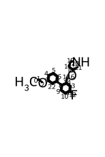 CCOc1cccc(-c2ccc(F)cc2CO[C@H]2CCNC2)c1